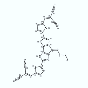 CCCC=C1c2cc(-c3ccc(C=C(C#N)C#N)s3)sc2-c2sc(-c3ccc(C=C(C#N)C#N)s3)cc21